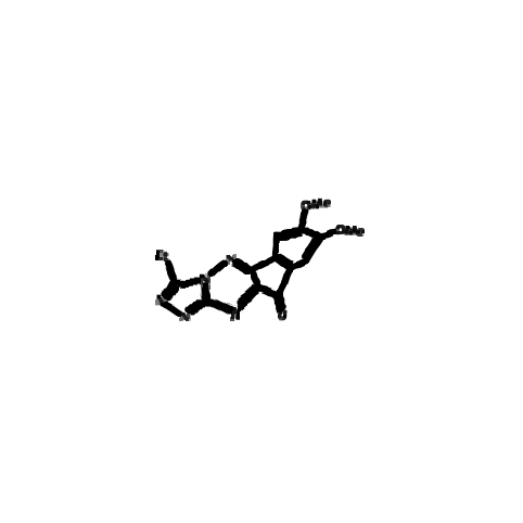 CCc1nnc2nc3c(nn12)-c1cc(OC)c(OC)cc1C3=O